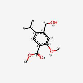 COC(=O)c1cc(C(C)C)c(CO)cc1OC